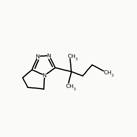 CCCC(C)(C)c1nnc2n1CCC2